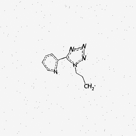 [CH2]CCn1nnnc1-c1ccccn1